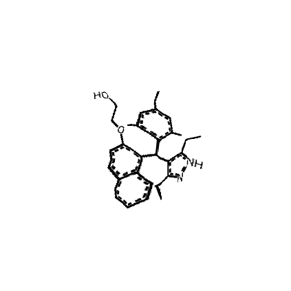 CCc1n[nH]c(CC)c1C(c1c(C)cc(C)cc1C)c1c(OCCO)ccc2ccccc12